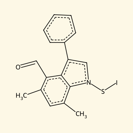 Cc1cc(C)c2c(c(-c3ccccc3)cn2SI)c1C=O